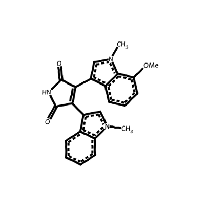 COc1cccc2c(C3=C(c4cn(C)c5ccccc45)C(=O)NC3=O)cn(C)c12